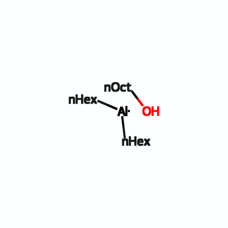 CCCCCCCCO.CCCCC[CH2][Al][CH2]CCCCC